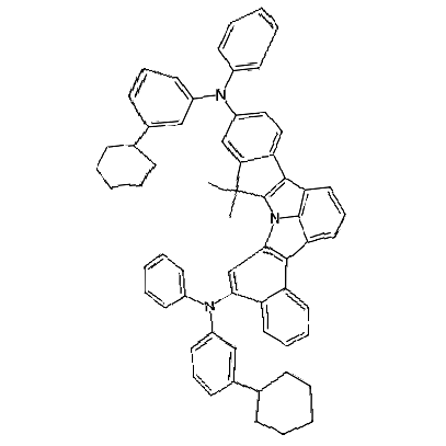 CC1(C)c2cc(N(c3ccccc3)c3cccc(C4CCCCC4)c3)ccc2-c2c1n1c3cc(N(c4ccccc4)c4cccc(C5CCCCC5)c4)c4ccccc4c3c3cccc2c31